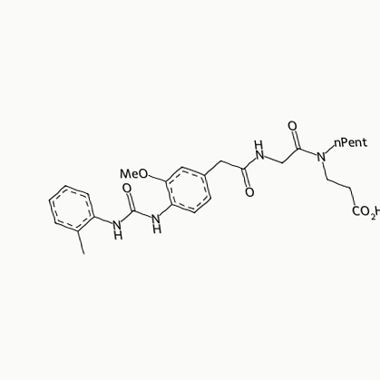 CCCCCN(CCC(=O)O)C(=O)CNC(=O)Cc1ccc(NC(=O)Nc2ccccc2C)c(OC)c1